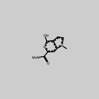 CNC(=O)c1cc2c(ccn2C)c(O)n1